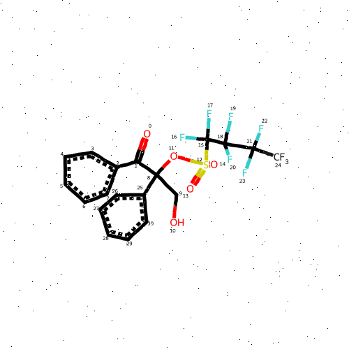 O=C(c1ccccc1)C(CO)(OS(=O)(=O)C(F)(F)C(F)(F)C(F)(F)C(F)(F)F)c1ccccc1